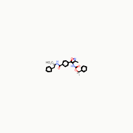 Cc1noc(-c2ccc(C(=O)N[C@H](Cc3ccccc3)C(=O)O)cc2)c1NC(=O)O[C@@H](C)c1ccccc1